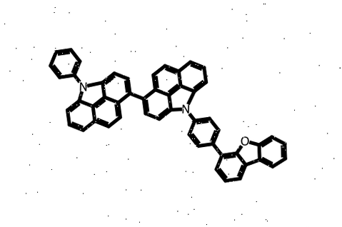 c1ccc(-n2c3cccc4ccc5c(-c6ccc7c8c6ccc6cccc(c68)n7-c6ccc(-c7cccc8c7oc7ccccc78)cc6)ccc2c5c43)cc1